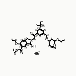 Br.CCOC(=O)CC(CC#N)OCc1cc(C(=O)CN2Cc3cc(OCC)c(C(=O)NC)cc3C2=N)cc(C(C)(C)C)c1